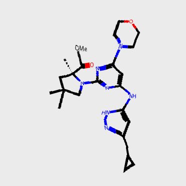 COC(=O)[C@]1(C)CC(C)(C)CN1c1nc(Nc2cc(C3CC3)n[nH]2)cc(N2CCOCC2)n1